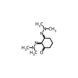 CN(C)N=C1CCCC(=O)C1=NN(C)C